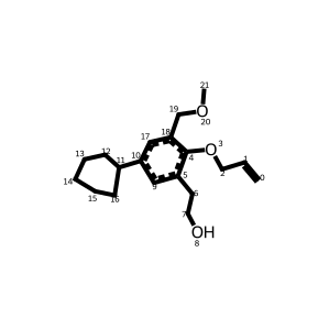 C=CCOc1c(CCO)cc(C2CCCCC2)cc1COC